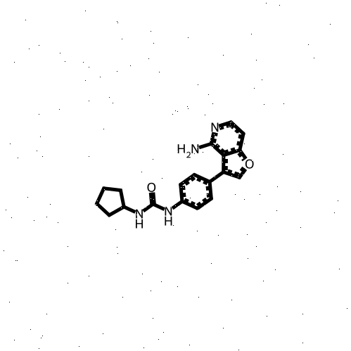 Nc1nccc2occ(-c3ccc(NC(=O)NC4CCCC4)cc3)c12